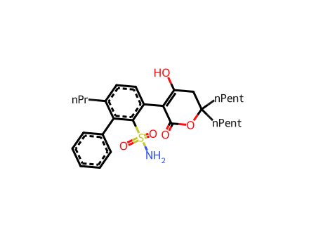 CCCCCC1(CCCCC)CC(O)=C(c2ccc(CCC)c(-c3ccccc3)c2S(N)(=O)=O)C(=O)O1